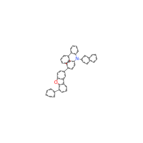 c1ccc(-c2ccccc2N(c2ccc(-c3ccc4oc5c(-c6ccccc6)cccc5c4c3)cc2)c2ccc3ccccc3c2)cc1